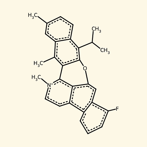 Cc1ccc2c(C(C)C)c3c(c(C)c2c1)-c1c2c(cc4c(F)cccc4c2cc[n+]1C)O3